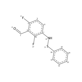 O=Cc1c(F)ccc(NSc2ccccc2)c1F